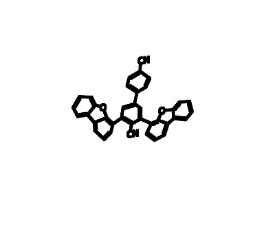 N#Cc1ccc(-c2cc(-c3cccc4c3oc3ccccc34)c(C#N)c(-c3cccc4c3oc3ccccc34)c2)cc1